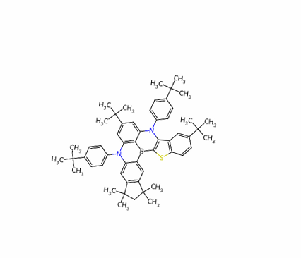 CC(C)(C)c1ccc(N2c3cc4c(cc3B3c5sc6ccc(C(C)(C)C)cc6c5N(c5ccc(C(C)(C)C)cc5)c5cc(C(C)(C)C)cc2c53)C(C)(C)CC4(C)C)cc1